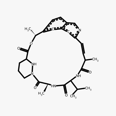 CC1/C=C/c2cc3cc(ccc3cn2)[C@@H](C)OC(=O)C2CCCN(N2)C(=O)[C@H](C)NC(=O)C(C(C)C)NC1=O